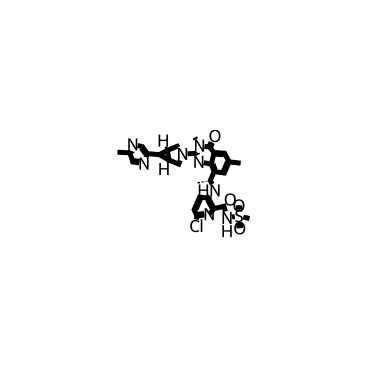 Cc1cc([C@@H](C)Nc2ccc(Cl)nc2C(=O)NS(C)(=O)=O)c2nc(N3C[C@@H]4C(c5cnc(C)cn5)[C@@H]4C3)n(C)c(=O)c2c1